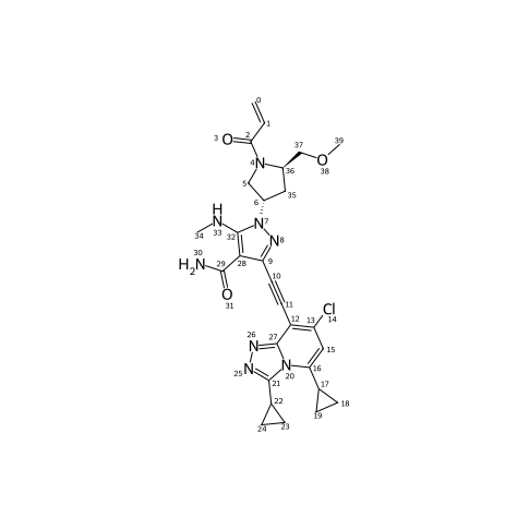 C=CC(=O)N1C[C@@H](n2nc(C#Cc3c(Cl)cc(C4CC4)n4c(C5CC5)nnc34)c(C(N)=O)c2NC)C[C@@H]1COC